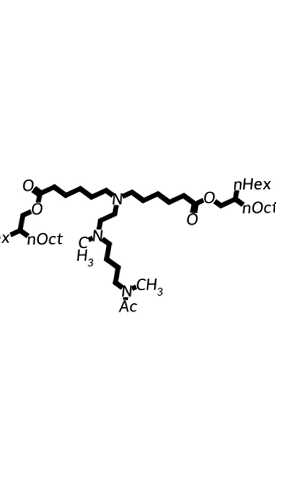 CCCCCCCCC(CCCCCC)COC(=O)CCCCCN(CCCCCC(=O)OCC(CCCCCC)CCCCCCCC)CCN(C)CCCCN(C)C(C)=O